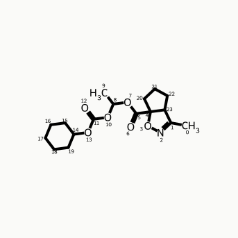 CC1=NOC2(C(=O)OC(C)OC(=O)OC3CCCCC3)CCCC12